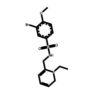 CCN1CC=CC=C1CNS(=O)(=O)c1ccc(OC)c(Br)c1